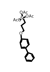 CC(=O)O[Si](CCCOc1ccc(-c2ccccc2)cc1)(OC(C)=O)OC(C)=O